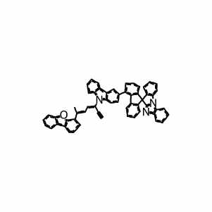 C#C/C(=C\C=C(/C)c1cccc2c1oc1ccccc12)n1c2ccccc2c2cc(-c3cccc4c3-c3ccccc3C43c4ccccc4-n4c3nc3ccccc34)ccc21